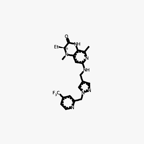 CC[C@H]1C(=O)Nc2c(cc(NCc3cnn(Cc4cc(C(F)(F)F)ccn4)c3)nc2C)N1C